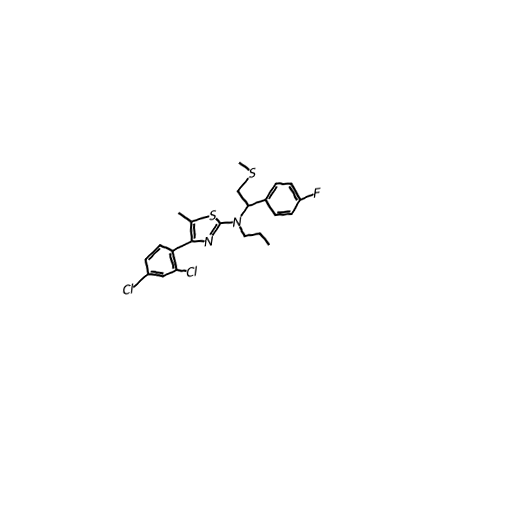 CCCN(c1nc(-c2ccc(Cl)cc2Cl)c(C)s1)C(CSC)c1ccc(F)cc1